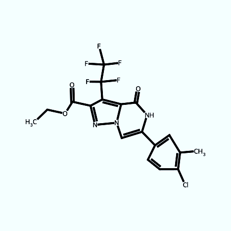 CCOC(=O)c1nn2cc(-c3ccc(Cl)c(C)c3)[nH]c(=O)c2c1C(F)(F)C(F)(F)F